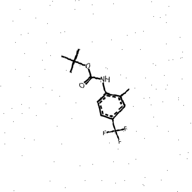 Cc1cc(C(F)(F)F)ccc1NC(=O)OC(C)(C)C